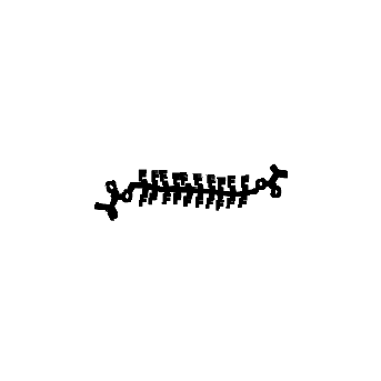 C=C(C)C(=O)OCC(F)(F)C(F)(F)C(F)(F)C(F)(F)C(F)(F)C(F)(F)C(F)(F)C(F)(F)C(F)(F)C(F)(F)COC(=O)C(=C)C